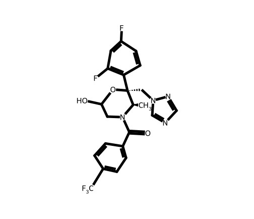 C[C@H]1N(C(=O)c2ccc(C(F)(F)F)cc2)CC(O)O[C@@]1(Cn1cncn1)c1ccc(F)cc1F